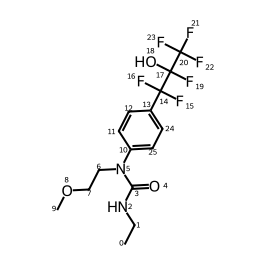 CCNC(=O)N(CCOC)c1ccc(C(F)(F)C(O)(F)C(F)(F)F)cc1